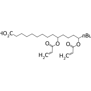 C=CC(=O)OC(CCCC)CCCC(CCCCCCCCC(=O)O)OC(=O)C=C